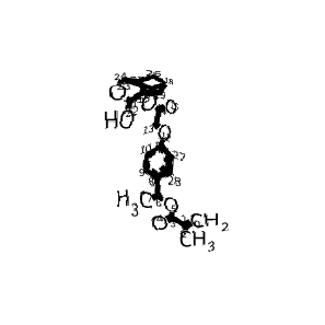 C=C(C)C(=O)OC(C)c1ccc(OCC(=O)OC2C3CC4C(O)OC2C4C3)cc1